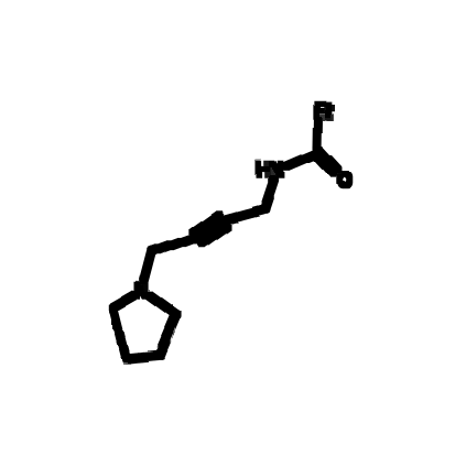 CCC(=O)NCC#CCN1CCCC1